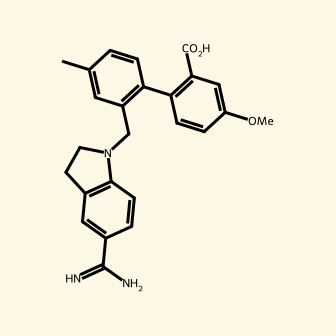 COc1ccc(-c2ccc(C)cc2CN2CCc3cc(C(=N)N)ccc32)c(C(=O)O)c1